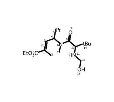 CCOC(=O)/C(C)=C/C(C(C)C)N(C)C(=O)C(NCO)C(C)(C)C